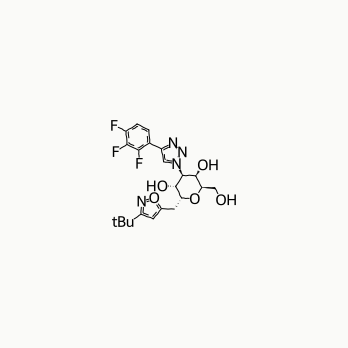 CC(C)(C)c1cc(C[C@H]2O[C@H](CO)[C@H](O)[C@H](n3cc(-c4ccc(F)c(F)c4F)nn3)[C@H]2O)on1